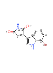 O=C1C=C(c2c[nH]c3c(Br)cccc23)C(=O)N1